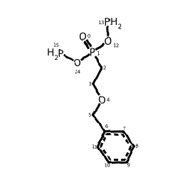 O=P(CCOCc1ccccc1)(OP)OP